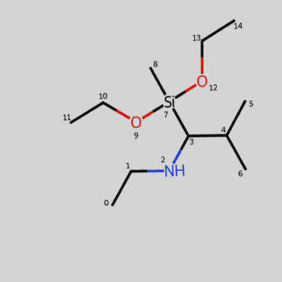 CCNC(C(C)C)[Si](C)(OCC)OCC